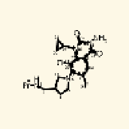 CC(C)NCC1CCN(c2c(F)cc3c(=O)n(N)c(=O)n(C4CC4)c3c2Cl)C1